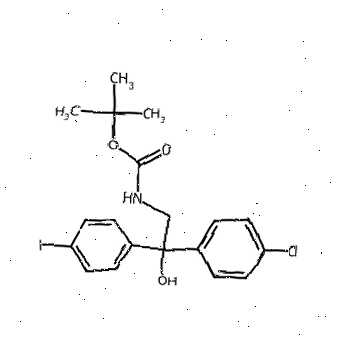 CC(C)(C)OC(=O)NCC(O)(c1ccc(Cl)cc1)c1ccc(I)cc1